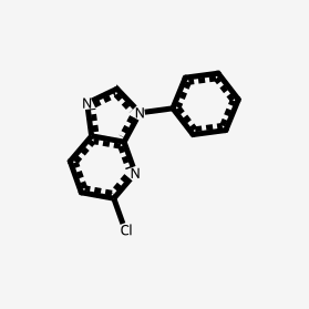 Clc1ccc2n[c]n(-c3ccccc3)c2n1